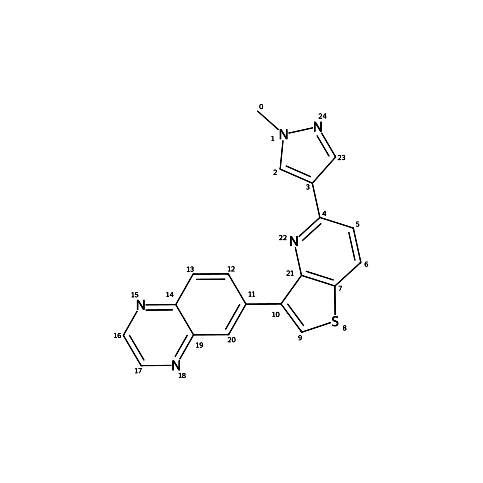 Cn1cc(-c2ccc3scc(-c4ccc5nccnc5c4)c3n2)cn1